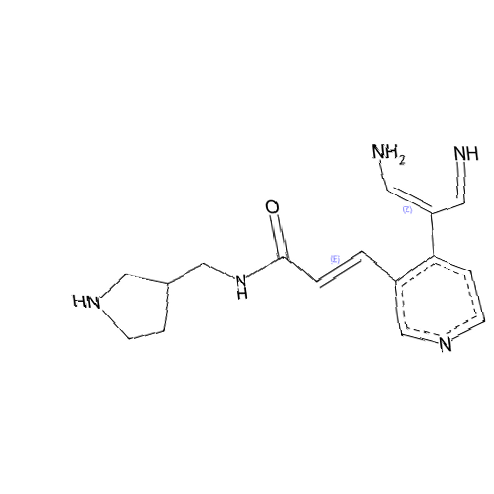 N=C/C(=C\N)c1ccncc1/C=C/C(=O)NCC1CCNC1